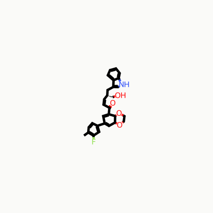 Cc1ccc(C2=CC3OCCOC3C(C(=O)/C=C\[C@@H](CO)Cc3c[nH]c4ccccc34)=C2)cc1F